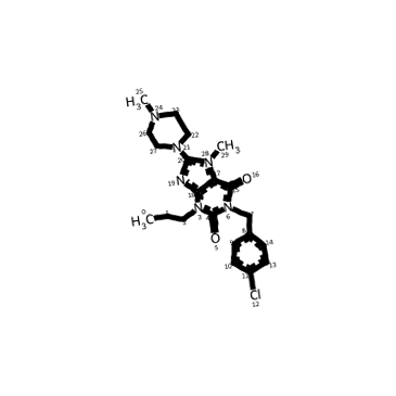 CCCn1c(=O)n(Cc2ccc(Cl)cc2)c(=O)c2c1nc(N1CCN(C)CC1)n2C